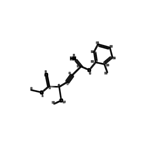 COC(=O)C(C#CC(=N)Oc1ccccc1C)OC